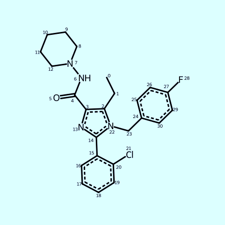 CCc1c(C(=O)NN2CCCCC2)nc(-c2ccccc2Cl)n1Cc1ccc(F)cc1